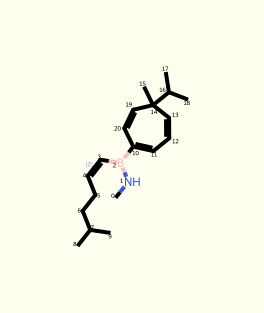 CNB(/C=C\CCC(C)C)C1=CC=CC(C)(C(C)C)C=C1